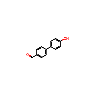 O=Cc1ccc(-c2ccc(O)cc2)cc1